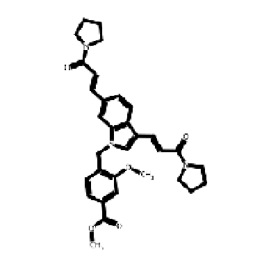 COC(=O)c1ccc(Cn2cc(/C=C/C(=O)N3CCCC3)c3ccc(/C=C/C(=O)N4CCCC4)cc32)c(OC)c1